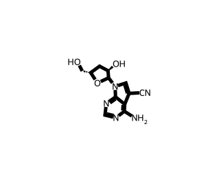 N#Cc1cn(C2O[C@H](CO)C[C@H]2O)c2ncnc(N)c12